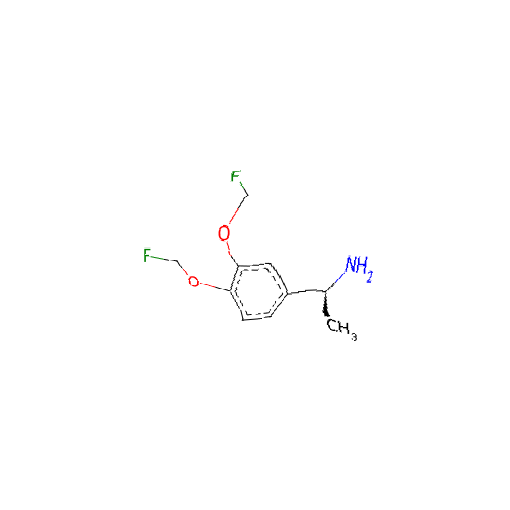 C[C@H](N)c1ccc(OCF)c(OCF)c1